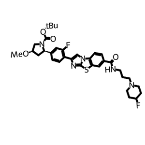 CO[C@@H]1C[C@H](c2ccc(-c3cn4c(n3)sc3cc(C(=O)NCCCN5CCC(F)CC5)ccc34)c(F)c2)N(C(=O)OC(C)(C)C)C1